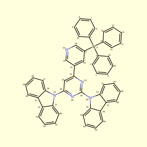 c1ccc([Si](c2ccccc2)(c2ccccc2)c2cncc(-c3cc(-n4c5ccccc5c5ccccc54)nc(-n4c5ccccc5c5ccccc54)n3)c2)cc1